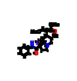 CC[C@@H]1CN2CC[C@](I)(C(=O)Nc3ccccc3)[C@@H]2C[C@@H]1/C(=C\OC)C(=O)OC